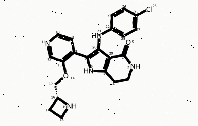 O=C1NCCc2[nH]c(-c3ccncc3OC[C@H]3CCN3)c(Nc3ccc(Cl)cc3)c21